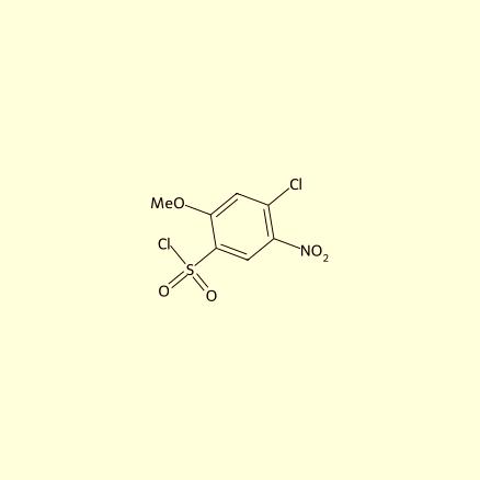 COc1cc(Cl)c([N+](=O)[O-])cc1S(=O)(=O)Cl